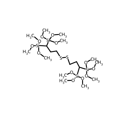 CO[Si](OC)(OC)C(CCSSCCC([Si](OC)(OC)OC)[Si](OC)(OC)OC)[Si](OC)(OC)OC